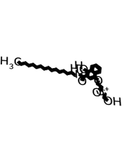 CCCCCCCCCCCCCCCCNC(=O)c1cc(OCC[S+]([O-])CCO)c2ccccc2c1O